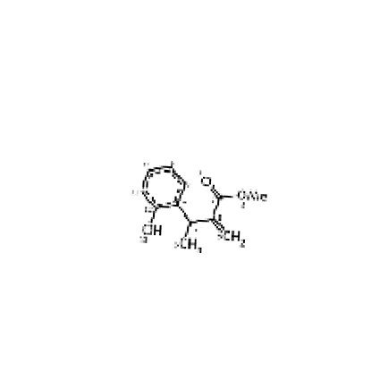 C=C(C(=O)OC)C(C)c1ccccc1O